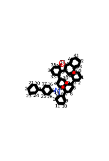 c1ccc(-c2ccc(-c3ccccc3N(c3ccc(-c4ccccc4)cc3)c3cccc(-c4cccc5oc6c7ccccc7ccc6c45)c3)cc2)cc1